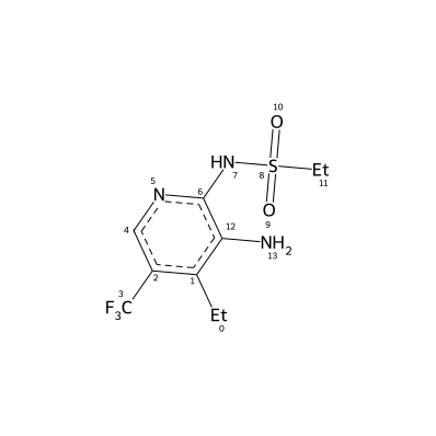 CCc1c(C(F)(F)F)cnc(NS(=O)(=O)CC)c1N